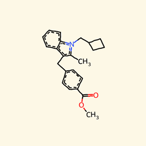 COC(=O)c1ccc(Cc2c(C)n(CC3CCC3)c3ccccc23)cc1